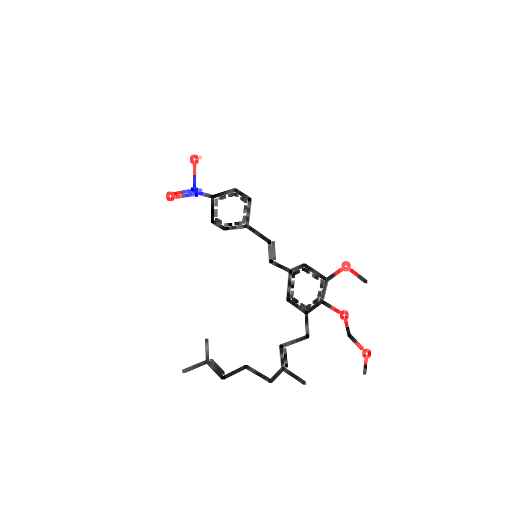 COCOc1c(C/C=C(\C)CCC=C(C)C)cc(C=Cc2ccc([N+](=O)[O-])cc2)cc1OC